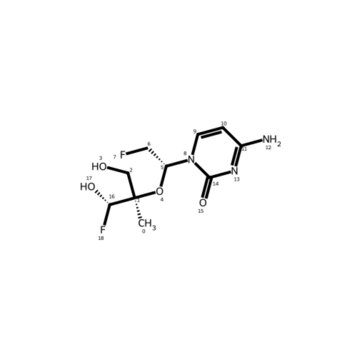 C[C@](CO)(O[C@H](CF)n1ccc(N)nc1=O)[C@@H](O)F